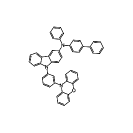 c1ccc(-c2ccc(N(c3ccccc3)c3ccc4c(c3)c3ccccc3n4-c3cccc(N4c5ccccc5Oc5ccccc54)c3)cc2)cc1